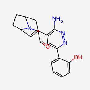 Nc1nnc(-c2ccccc2O)cc1C1=CC2CCC(C1)N2CC=O